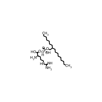 CCCCCCCCCC(CCCCCCC)COP(=O)(O)O.N=C(N)NCCC[C@H](N)C(=O)O